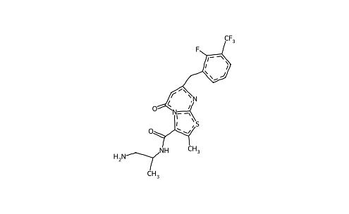 Cc1sc2nc(Cc3cccc(C(F)(F)F)c3F)cc(=O)n2c1C(=O)NC(C)CN